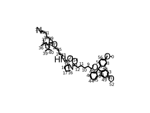 COc1ccc(C(OCCCCCC(=O)N2CCC[C@H]2C(=O)NCCCCOP(CCCC#N)N(C(C)C)C(C)C)(c2ccccc2)c2ccc(OC)cc2)cc1